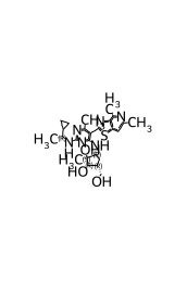 Cc1cc2sc(-c3c(C)nc(N[C@H](C)C4CC4)nc3N[C@@H]3C[C@H](CO)[C@@H](O)[C@@]3(C)O)nc2c(C)n1